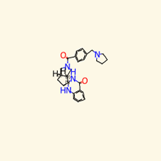 O=C1N[C@]2(CC[C@@H]3CN(C(=O)c4ccc(CN5CCCC5)cc4)C[C@@H]32)Nc2ccccc21